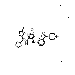 Cc1ccc([C@H](Nc2n[s+]([O-])nc2Nc2cccc(C(=O)N3CCN(C)CC3)c2O)C2CCCC2)o1